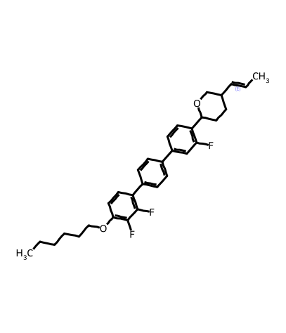 C/C=C/C1CCC(c2ccc(-c3ccc(-c4ccc(OCCCCCC)c(F)c4F)cc3)cc2F)OC1